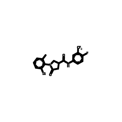 CCc1cccc(C)c1N1CC(C(=O)Nc2ccc(F)c(C(F)(F)F)c2)CC1=O